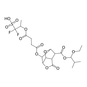 CCOC(OC(=O)C1C2OC3C(OC(=O)C31)C2OC(=O)CCC(=O)OC(C)C(F)(F)S(=O)(=O)O)C(C)C